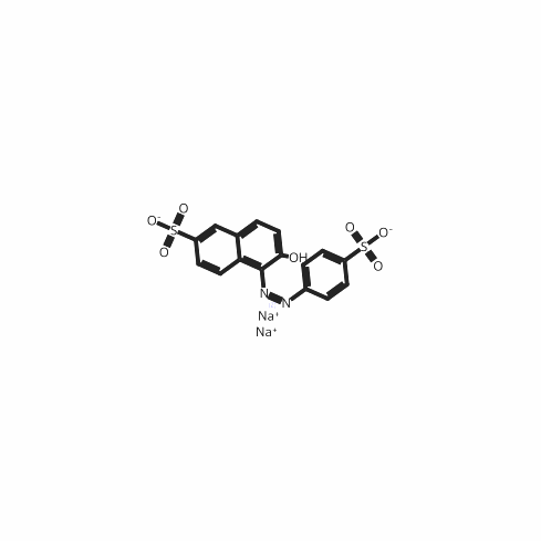 O=S(=O)([O-])c1ccc(/N=N\c2c(O)ccc3cc(S(=O)(=O)[O-])ccc23)cc1.[Na+].[Na+]